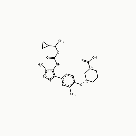 Cc1nc(-c2nnn(C)c2NC(=O)OC(C)C2CC2)ccc1O[C@H]1CCC[C@H](C(=O)O)C1